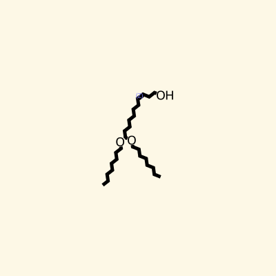 CCCCCCCCOC(CCCCCC/C=C\CCO)OCCCCCCCC